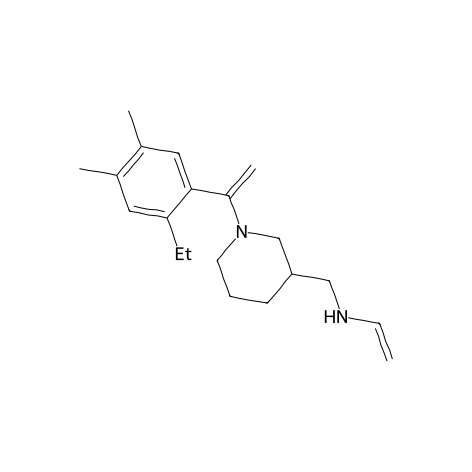 C=CNCC1CCCN(C(=C)c2cc(C)c(C)cc2CC)C1